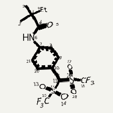 CCC(C)(C)C(=O)Nc1ccc(C(S(=O)(=O)C(F)(F)F)S(=O)(=O)C(F)(F)F)cc1